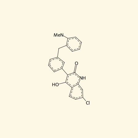 CNc1ccccc1Cc1cccc(-c2c(O)c3ccc(Cl)cc3[nH]c2=O)c1